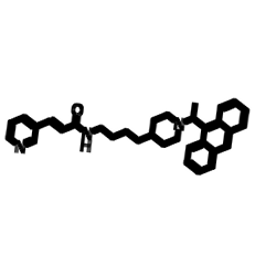 CC(c1c2ccccc2cc2ccccc12)N1CCC(CCCCNC(=O)C=Cc2cccnc2)CC1